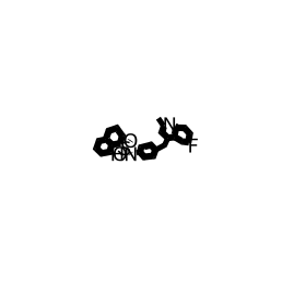 Cc1cc(Cc2ccc(NS(=O)(=O)c3cccc4ccccc34)cc2)c2cc(F)ccc2n1